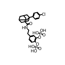 O=C(NCCc1ccc(OP(=O)(O)O)c(OP(=O)(O)O)c1)C12CC3CC(C1)CC(c1ccc(Cl)cc1)(C3)C2